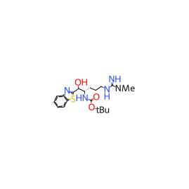 CNC(=N)NCCC[C@H](NC(=O)OC(C)(C)C)C(O)c1nc2ccccc2s1